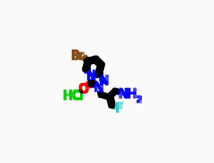 Cl.NC/C(=C\F)Cn1nc2ccc(Br)cn2c1=O